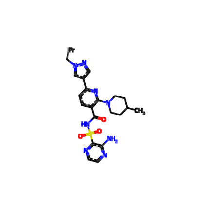 CC(C)Cn1cc(-c2ccc(C(=O)NS(=O)(=O)c3nccnc3N)c(N3CCC(C)CC3)n2)cn1